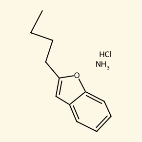 CCCCc1cc2ccccc2o1.Cl.N